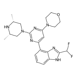 C[C@@H]1CN(c2nc(-c3cccc4[nH]c(C(F)F)nc34)cc(N3CCOCC3)n2)C[C@H](C)N1